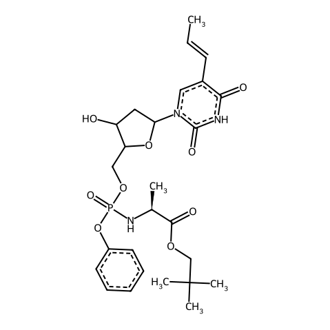 C/C=C/c1cn(C2CC(O)C(COP(=O)(N[C@@H](C)C(=O)OCC(C)(C)C)Oc3ccccc3)O2)c(=O)[nH]c1=O